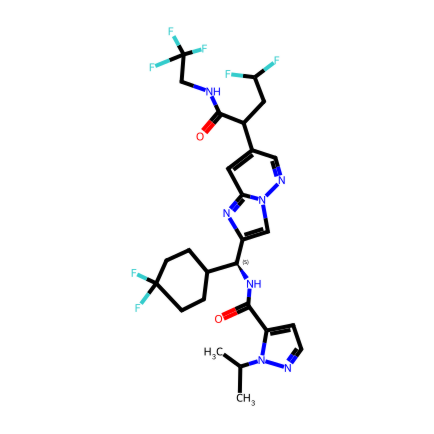 CC(C)n1nccc1C(=O)N[C@H](c1cn2ncc(C(CC(F)F)C(=O)NCC(F)(F)F)cc2n1)C1CCC(F)(F)CC1